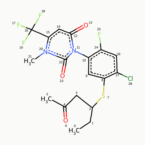 CCC(CC(C)=O)Sc1cc(-n2c(=O)cc(C(F)(F)F)n(C)c2=O)c(F)cc1Cl